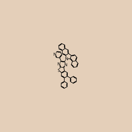 c1ccc(-c2cc3sc4nc(-c5cccnc5)c(-n5c6cc7ccccc7cc6c6ccc7ccccc7c65)nc4c3cc2-c2ccccc2)cc1